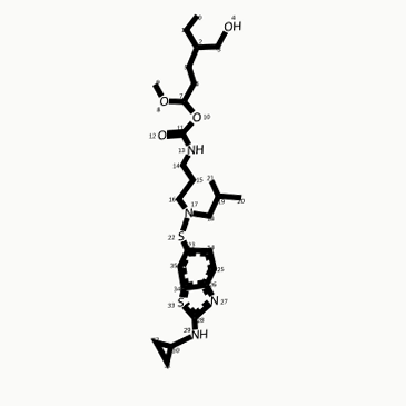 CCC(CO)CCC(OC)OC(=O)NCCCN(CC(C)C)Sc1ccc2nc(NC3CC3)sc2c1